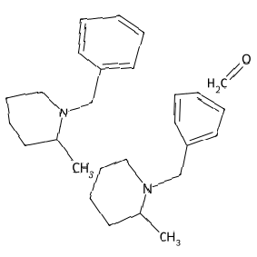 C=O.CC1CCCCN1Cc1ccccc1.CC1CCCCN1Cc1ccccc1